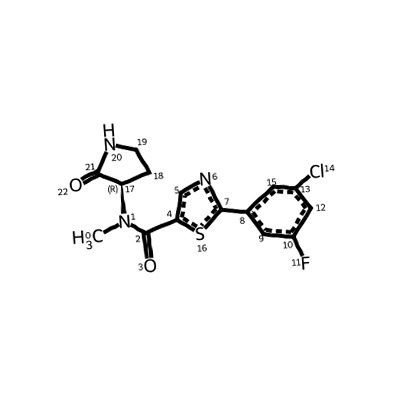 CN(C(=O)c1cnc(-c2cc(F)cc(Cl)c2)s1)[C@@H]1CCNC1=O